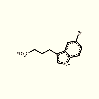 CCOC(=O)CCCc1c[nH]c2ccc(Br)cc12